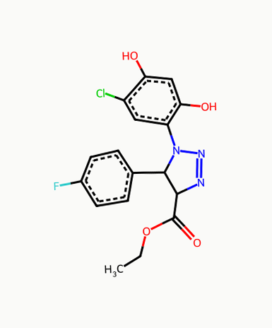 CCOC(=O)C1N=NN(c2cc(Cl)c(O)cc2O)C1c1ccc(F)cc1